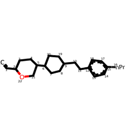 C=CC1CCC(C2CCC(CCc3ccc(CCC)cc3)CC2)CO1